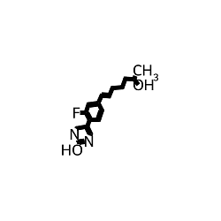 CC(O)CCC/C=C/c1ccc(-c2cnc(O)nc2)c(F)c1